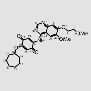 COCCOc1cc2ncnc(NC3=CC(=O)C(OC4CCCCCC4)=CC3=O)c2cc1OC